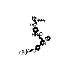 CCCCOCCOc1ccc(-c2cnc(N3CCCC3)c(C=CC(=O)Nc3ccc([S+]([O-])Cc4cncn4CCC)cc3)c2)cc1